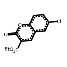 CCOC(=O)c1cc2cc(Cl)ccc2oc1=O